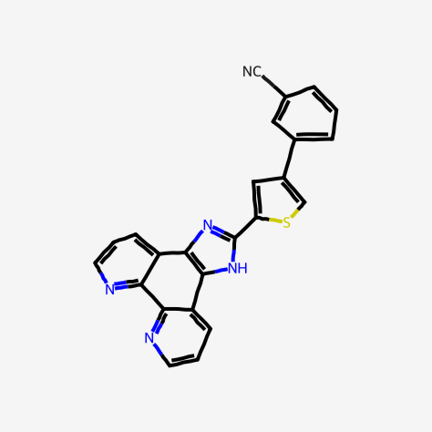 N#Cc1cccc(-c2csc(-c3nc4c5cccnc5c5ncccc5c4[nH]3)c2)c1